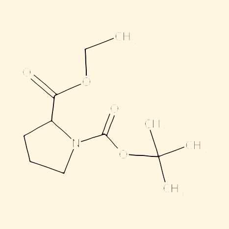 CCOC(=O)C1CCCN1C(=O)OC(C)(C)C